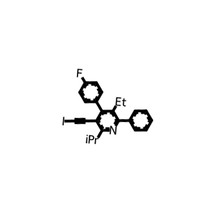 CCc1c(-c2ccccc2)nc(C(C)C)c(C#CI)c1-c1ccc(F)cc1